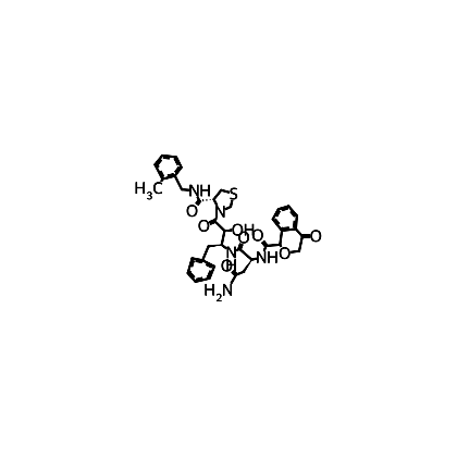 Cc1ccccc1CNC(=O)[C@@H]1CSCN1C(=O)[C@@H](O)[C@H](Cc1ccccc1)NC(=O)[C@H](CC(N)=O)NC(=O)C1OCC(=O)c2ccccc21